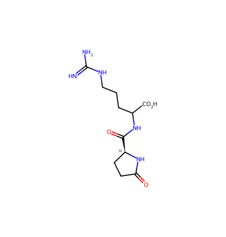 N=C(N)NCCCC(NC(=O)[C@@H]1CCC(=O)N1)C(=O)O